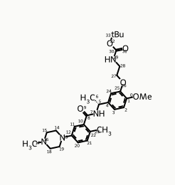 COc1ccc([C@@H](C)NC(=O)c2cc(N3CCN(C)CC3)ccc2C)cc1OCCNC(=O)OC(C)(C)C